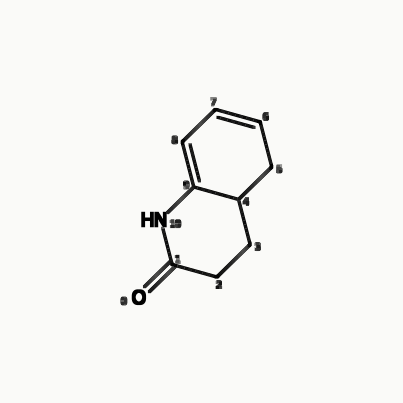 O=C1CCC2CC=CC=C2N1